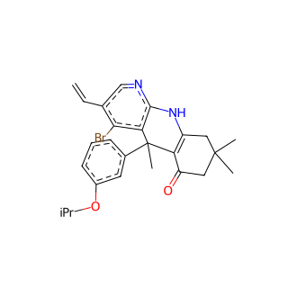 C=Cc1cnc2c(c1Br)C(C)(c1cccc(OC(C)C)c1)C1=C(CC(C)(C)CC1=O)N2